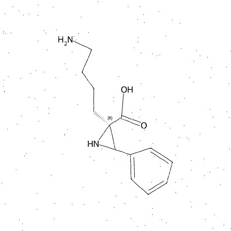 NCCCC[C@@]1(C(=O)O)NC1c1ccccc1